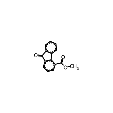 COC(=O)c1cccc2c1-c1ccccc1C2=O